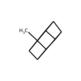 CC12C3C4C5C3C1C5C42